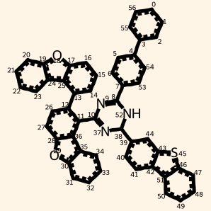 c1ccc(-c2ccc(C3=NC(c4c(-c5cccc6oc7ccccc7c56)ccc5oc6ccccc6c45)=NC(c4ccc5c(c4)sc4ccccc45)N3)cc2)cc1